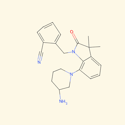 CC1(C)C(=O)N(Cc2ccccc2C#N)c2c(N3CCCC(N)C3)cccc21